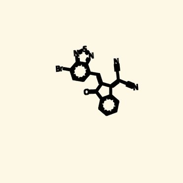 N#CC(C#N)=C1/C(=C/c2ccc(Br)c3nsnc23)C(=O)c2ccccc21